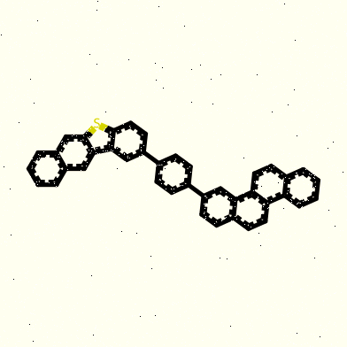 c1ccc2cc3c(cc2c1)sc1ccc(-c2ccc(-c4ccc5ccc6c7ccccc7ccc6c5c4)cc2)cc13